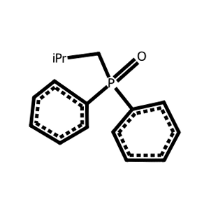 CC(C)CP(=O)(c1ccccc1)c1ccccc1